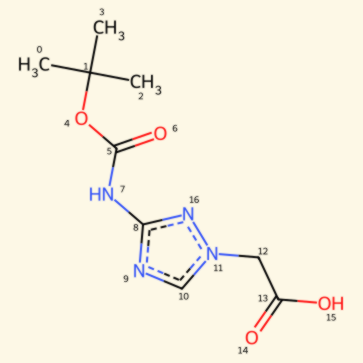 CC(C)(C)OC(=O)Nc1ncn(CC(=O)O)n1